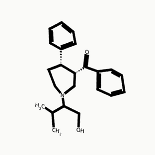 CC(C)C(CO)N1C[CH][C@H](c2ccccc2)[C@H](C(=O)c2ccccc2)C1